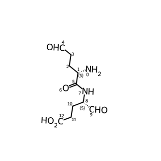 N[C@@H](CCC=O)C(=O)N[C@H](C=O)CCC(=O)O